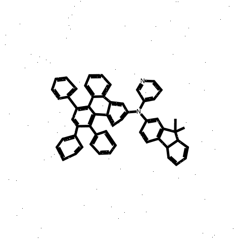 CC1(C)c2cc(N(c3cccnc3)c3ccc4c(c3)c3ccccc3c3c(-c5ccccc5)cc(-c5ccccc5)c(-c5ccccc5)c43)ccc2C2C=CC=CC21